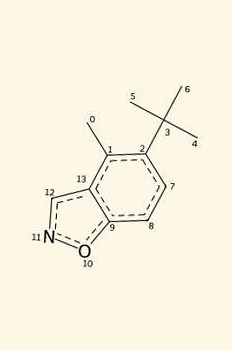 Cc1c(C(C)(C)C)ccc2oncc12